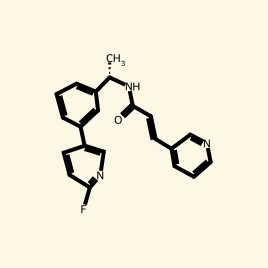 C[C@H](NC(=O)C=Cc1cccnc1)c1cccc(-c2ccc(F)nc2)c1